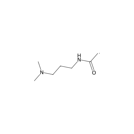 [CH2]C(=O)NCCCN(C)C